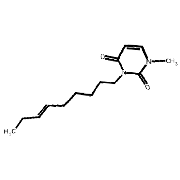 CCC=CCCCCCn1c(=O)ccn(C)c1=O